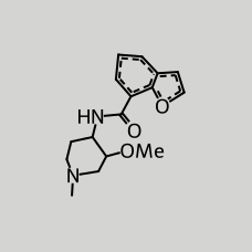 COC1CN(C)CCC1NC(=O)c1cccc2ccoc12